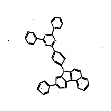 c1ccc(-c2ccc3c4c5ccccc5ccc4n(-c4ccc(-c5nc(-c6ccccc6)nc(-c6ccccc6)n5)cc4)c3c2)cc1